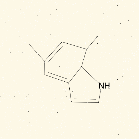 CC1=CC(C)C2NC=CC2=C1